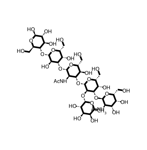 CC(=O)N[C@H]1[C@@H](O[C@H]2[C@@H](O)[C@@H](CO)O[C@@H](O[C@H]3[C@H](O)[C@@H](CO)O[C@@H](O[C@H]4[C@@H](O)[C@@H](CO)O[C@@H](O[C@H]5[C@H](O)[C@@H](O)[C@H](O)O[C@@H]5CO)[C@@H]4O)[C@@H]3NC(C)=O)[C@@H]2O[C@@H]2O[C@@H](C)[C@@H](O)[C@@H](O)[C@@H]2O)O[C@H](CO)[C@H](O)[C@@H]1O